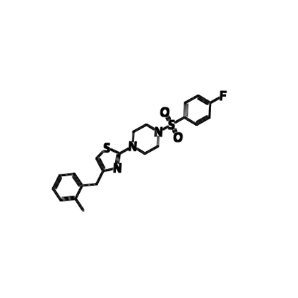 Cc1ccccc1Cc1csc(N2CCN(S(=O)(=O)c3ccc(F)cc3)CC2)n1